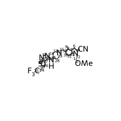 COCCn1c(C#N)cc2c(C)c(CN3CCC(Nc4ncnc5sc(CC(F)(F)F)cc45)CC3)ccc21